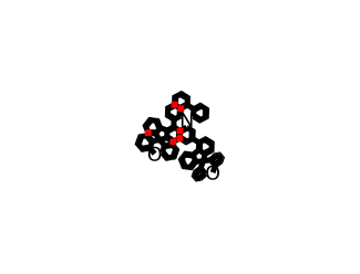 c1ccc(-c2ccccc2N(c2cccc(-c3cccc4c3-c3ccccc3C43c4ccccc4Oc4ccccc43)c2)c2ccccc2-c2cccc3c2-c2ccccc2C32c3ccccc3Oc3ccccc32)cc1